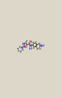 Cc1nc(N2CCCCC2)oc1C(=O)Nc1ccc2c(c1)CCNC2